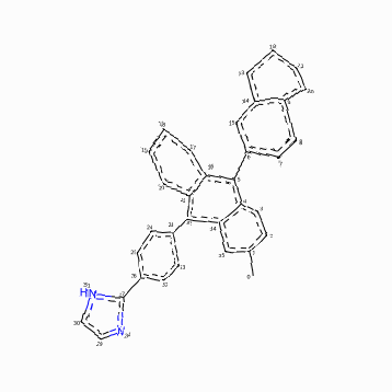 Cc1ccc2c(-c3ccc4ccccc4c3)c3ccccc3c(-c3ccc(-c4ncc[nH]4)cc3)c2c1